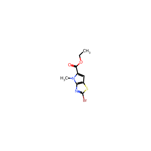 CCOC(=O)c1cc2sc(Br)nc2n1C